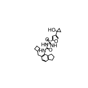 N=[S@@](=O)(NC(=O)Nc1c(CC2CCC2)ccc2c1CCC2)c1cc(C2(O)CC2)co1